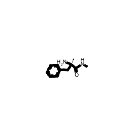 CNC(=O)[C@](C)(N)Cc1ccccc1